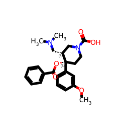 COc1cccc([C@]2(OC(=O)c3ccccc3)CCN(C(=O)O)C[C@H]2CN(C)C)c1